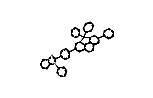 c1ccc(-c2cc3c4c(ccc5cc(-c6ccc(-c7nc8ccccc8n7-c7ccccc7)cc6)cc(c54)C3(c3ccccc3)c3ccccc3)c2)cc1